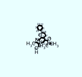 Cc1nc2c3c(c(C(=O)N(C)C)cn2c1CO)CC[C@@H](c1ccccc1)O3